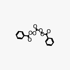 O=C(OOC(=O)c1ccccc1)OOC(=O)c1ccccc1